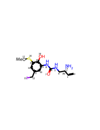 C=C[C@@H](N)CNC(=O)Nc1cc(CI)cc(SOC)c1O